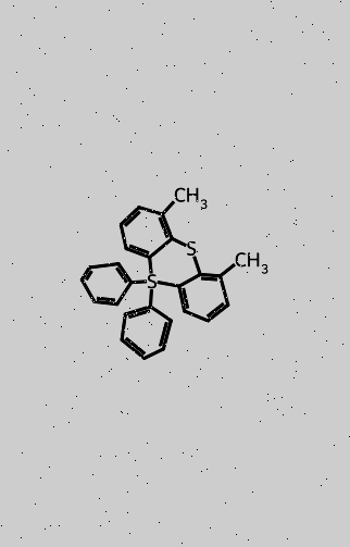 Cc1cccc2c1Sc1c(C)cccc1S2(c1ccccc1)c1ccccc1